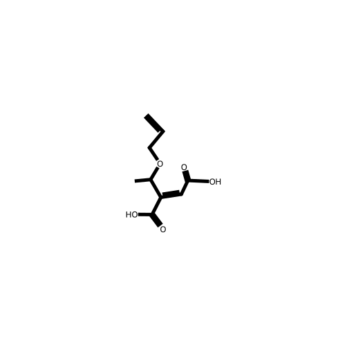 C=CCOC(C)/C(=C\C(=O)O)C(=O)O